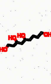 OCCCCC(O)CC(O)CCO